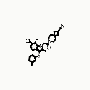 Cc1cccc(Sc2c(C)n(CC(=O)N3CCC4(CC3)CC(C#N)C4)c3c(F)c(Cl)ccc23)c1